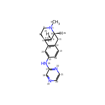 CN1CC[C@]23CCCC[C@H]2[C@H]1Cc1ccc(Nc2cnccn2)cc13